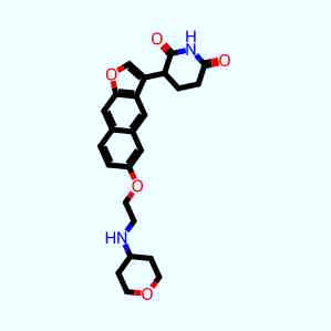 O=C1CCC(c2coc3cc4ccc(OCCNC5CCOCC5)cc4cc23)C(=O)N1